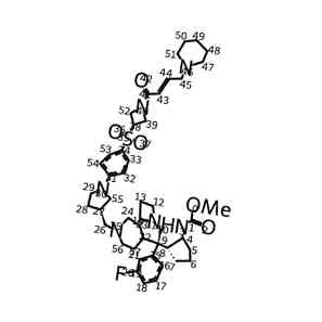 COC(=O)N[C@H]1CCC[C@@H]1[C@](CN1CCC1)(c1cccc(F)c1)C1CCN(C[C@H]2CCN(c3ccc(S(=O)(=O)C4CN(C(=O)/C=C/CN5CCCCC5)C4)cc3)C2)CC1